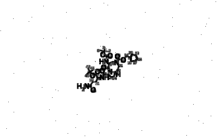 CC(C)(C)OC(=O)N[C@H]1CN(C(=O)OCc2ccccc2)CC[C@H]2CC[C@@H](C(=O)N[C@@H](CCC(N)=O)C(=O)OC(C)(C)C)N2C1=O